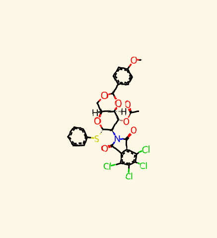 COc1ccc(C2OC[C@H]3O[C@@H](Sc4ccccc4)[C@H](N4C(=O)c5c(Cl)c(Cl)c(Cl)c(Cl)c5C4=O)[C@@H](OC(C)=O)[C@@H]3O2)cc1